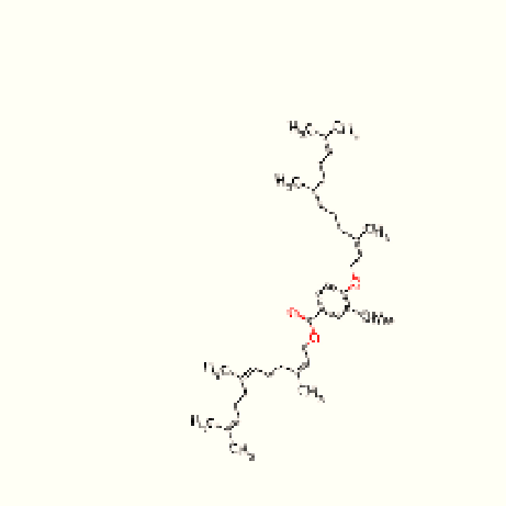 COc1cc(C(=O)OCC=C(C)CCC=C(C)CCC=C(C)C)ccc1OCC=C(C)CCC=C(C)CCC=C(C)C